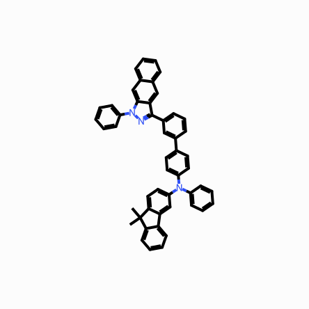 CC1(C)c2ccccc2-c2cc(N(c3ccccc3)c3ccc(-c4cccc(-c5nn(-c6ccccc6)c6cc7ccccc7cc56)c4)cc3)ccc21